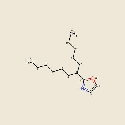 CCCCCCC(CCCCC)c1ncco1